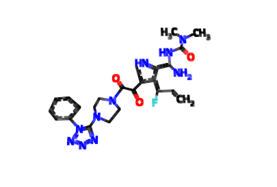 C=C/C(F)=c1/c(C(=O)C(=O)N2CCN(c3nnnn3-c3ccccc3)CC2)c[nH]/c1=C(/N)NC(=O)N(C)C